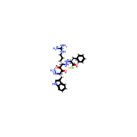 NN[C@@H](Cc1c[nH]c2ccccc12)C(=O)C(=O)[C@H](CCCNC(N)N)NN[C@@H](Cc1ccccc1)C(=O)S